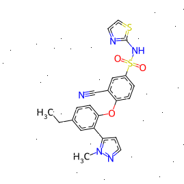 CCc1ccc(Oc2ccc(S(=O)(=O)Nc3nccs3)cc2C#N)c(-c2ccnn2C)c1